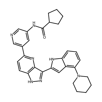 O=C(Nc1cncc(-c2ccc3[nH]nc(-c4cc5c(N6CCCCC6)cccc5[nH]4)c3n2)c1)C1CCCC1